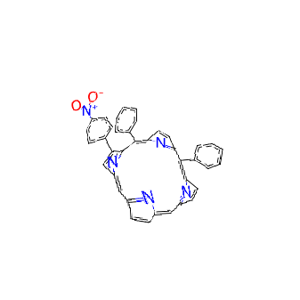 O=[N+]([O-])c1ccc(C2=CC3=CC4=NC(=CC5=NC(=C(c6ccccc6)C6=NC(=C(c7ccccc7)C2=N3)C=C6)C=C5)C=C4)cc1